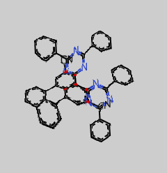 N#Cc1cc(-c2nc(-c3ccccc3)nc(-c3ccccc3)n2)cc(-c2cccc3cccc(-c4cc(C#N)cc(-c5nc(-c6ccccc6)nc(-c6ccccc6)n5)c4)c23)c1